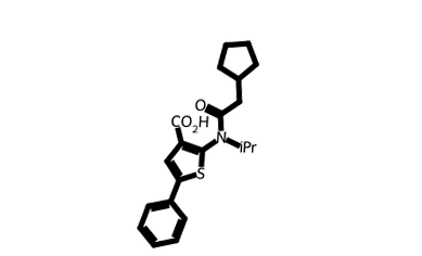 CC(C)N(C(=O)CC1CCCC1)c1sc(-c2ccccc2)cc1C(=O)O